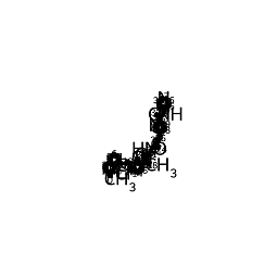 Cc1ccc2cccc(OCc3c(Cl)ccc(N(C)C(=O)CNC(=O)/C=C/c4ccc(C(=O)Nc5ccncc5)nc4)c3Cl)c2n1